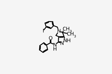 CC1(C)c2[nH]nc(NC(=O)c3ccccc3)c2CN1Cc1cccc(I)c1